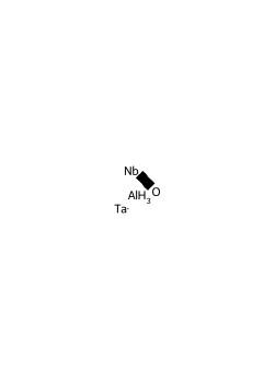 [AlH3].[O]=[Nb].[Ta]